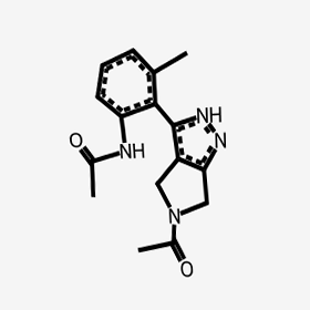 CC(=O)Nc1cccc(C)c1-c1[nH]nc2c1CN(C(C)=O)C2